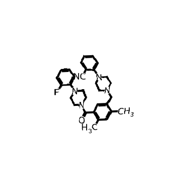 Cc1cc(C)c(C(=O)N2CCN(c3ccccc3F)CC2)cc1CN1CCN(c2ccccc2C#N)CC1